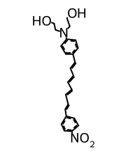 O=[N+]([O-])c1ccc(C=CC=CC=CC=Cc2ccc(N(CCO)CCO)cc2)cc1